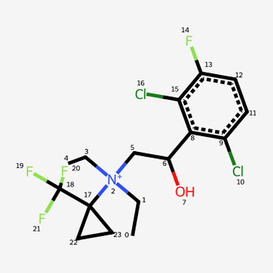 CC[N+](CC)(CC(O)c1c(Cl)ccc(F)c1Cl)C1(C(F)(F)F)CC1